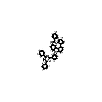 c1ccc(-c2nc(-c3ccccc3)nc(-c3cccc(-n4c5cccc6c7ccccc7n7c(-c8ccccc8)nc8ccc4c(c65)c87)c3)n2)cc1